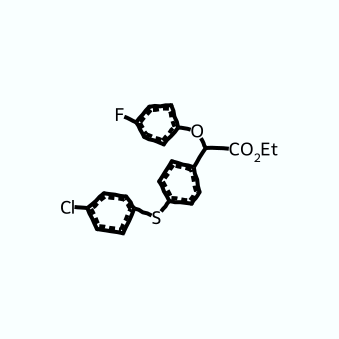 CCOC(=O)C(Oc1ccc(F)cc1)c1ccc(Sc2ccc(Cl)cc2)cc1